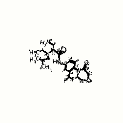 CCN(CC(C)C)[C@@H](CN)C(=O)Nc1ccc(N2CCOCC2=O)c(C(F)F)c1